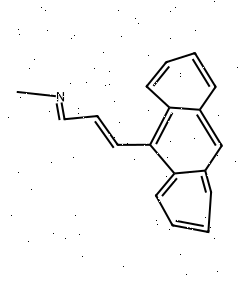 CN=CC=Cc1c2ccccc2cc2ccccc12